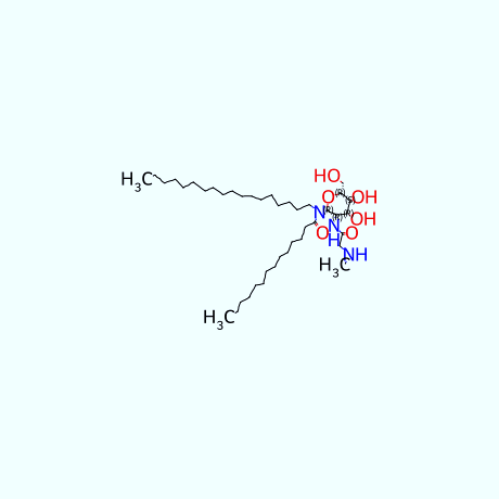 CCCCCCCCCCCCCCCCCCN(C(=O)CCCCCCCCCCCCC)[C@@H]1O[C@H](CO)[C@@H](O)[C@H](O)[C@H]1NC(=O)CNC